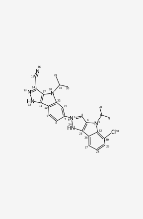 CC(C)n1c2c[n+](-c3ccc4c5[nH]nc(C#N)c5n(C(C)C)c4c3)[nH]c2c2cccc(Cl)c21